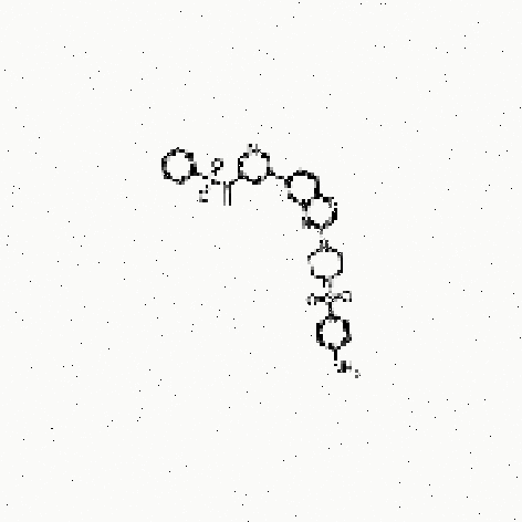 Nc1ccc(S(=O)(=O)N2CCN(c3cnc4ccc(-c5cncc(NS(=O)(=O)c6ccccc6)c5)cc4n3)CC2)cc1